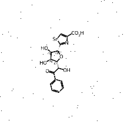 O=C(O)c1c[se]c([C@@H]2O[C@H](C(O)C(=O)c3ccccc3)[C@@H](O)[C@H]2O)n1